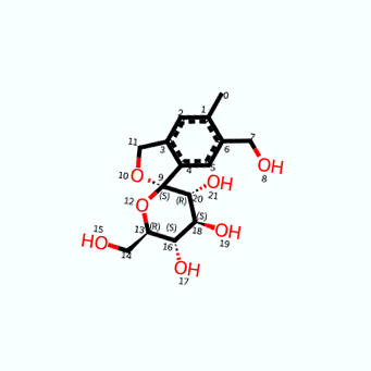 Cc1cc2c(cc1CO)[C@]1(OC2)O[C@H](CO)[C@@H](O)[C@H](O)[C@H]1O